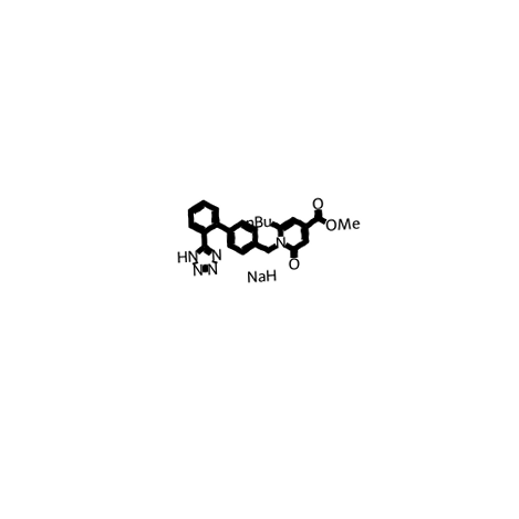 CCCCc1cc(C(=O)OC)cc(=O)n1Cc1ccc(-c2ccccc2-c2nnn[nH]2)cc1.[NaH]